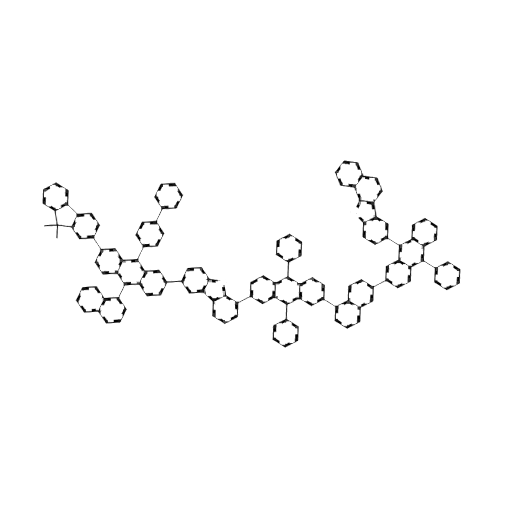 CC1(C)c2ccccc2-c2ccc(-c3ccc4c(-c5cccc6ccccc56)c5ccc(-c6ccc7oc8c(-c9ccc%10c(-c%11ccccc%11)c%11ccc(-c%12cccc%13cc(-c%14ccc%15c(-c%16ccccc%16)c%16ccccc%16c(-c%16ccc%17oc%18c%19ccccc%19ccc%18c%17c%16)c%15c%14)ccc%12%13)cc%11c(-c%11ccccc%11)c%10c9)cccc8c7c6)cc5c(-c5ccc(-c6ccccc6)cc5)c4c3)cc21